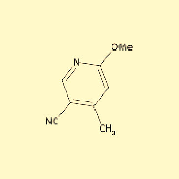 COc1cc(C)c(C#N)cn1